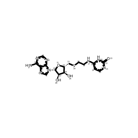 Nc1ncnc2c1ncn2[C@@H]1O[C@H](CSCCNc2ccnc(=O)[nH]2)[C@@H](O)[C@H]1O